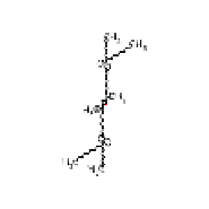 CCCCCCCCC(CCCCCC)C(=O)OCCCCCCCN(C)C12CC(N(C)CCCCCCCOC(=O)C(CCCCCC)CCCCCCCC)(C1)C2